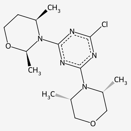 C[C@@H]1COC[C@H](C)N1c1nc(Cl)nc(N2[C@H](C)CCO[C@@H]2C)n1